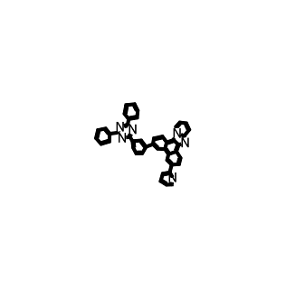 c1ccc(-c2nc(-c3ccccc3)nc(-c3cccc(-c4ccc5c(c4)c4cc(-c6ccccn6)ccc4c4nc6ccccn6c54)c3)n2)cc1